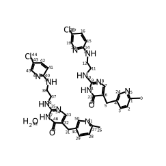 Cc1ccc(Cc2cnc(NCCNc3ccc(Cl)cn3)[nH]c2=O)cn1.Cc1ccc(Cc2cnc(NCCNc3ccc(Cl)cn3)[nH]c2=O)cn1.O